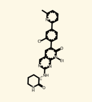 CCn1c(=O)c(-c2ccc(-c3cccc(C)n3)cc2Cl)cc2cnc(N[C@H]3CCCNC3=O)nc21